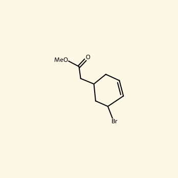 COC(=O)CC1CC=CC(Br)C1